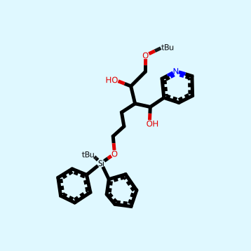 CC(C)(C)OCC(O)C(CCCO[Si](c1ccccc1)(c1ccccc1)C(C)(C)C)C(O)c1cccnc1